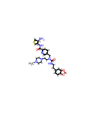 CN1CCN(CCN(Cc2ccc(C(=O)Nc3cscc3N)nc2)C(=O)NCCc2ccc3c(c2)OCO3)CC1